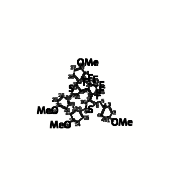 COc1ccc(Cc2sc(-c3ccc(OC)cc3)cc2C2=C(c3cc(-c4ccc(OC)cc4)sc3-c3ccc(OC)cc3)C(F)(F)C(F)(F)C2(F)F)cc1